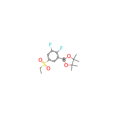 CCS(=O)(=O)c1cc(F)c(F)c(B2OC(C)(C)C(C)(C)O2)c1